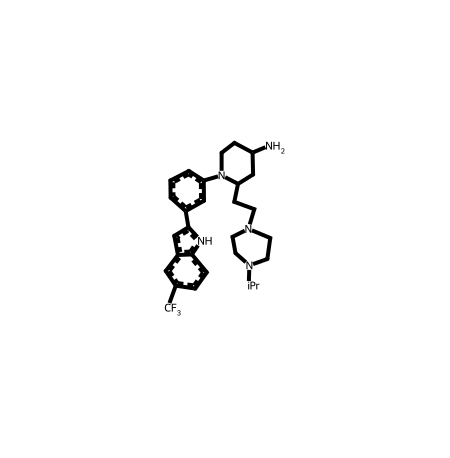 CC(C)N1CCN(CCC2CC(N)CCN2c2cccc(-c3cc4cc(C(F)(F)F)ccc4[nH]3)c2)CC1